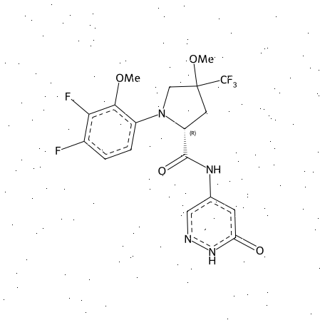 COc1c(N2CC(OC)(C(F)(F)F)C[C@@H]2C(=O)Nc2cn[nH]c(=O)c2)ccc(F)c1F